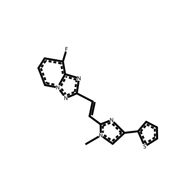 Cn1cc(-c2cccs2)nc1C=Cc1nc2c(F)cccn2n1